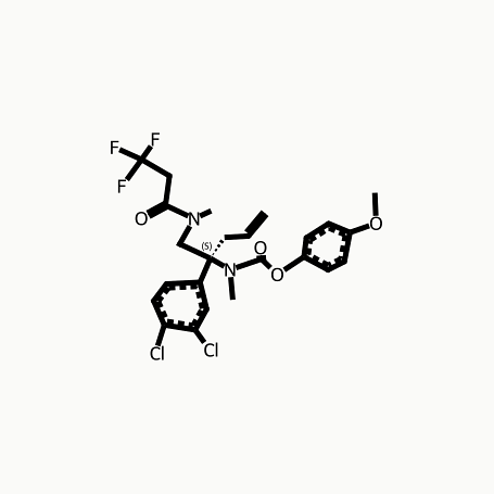 C=CC[C@@](CN(C)C(=O)CC(F)(F)F)(c1ccc(Cl)c(Cl)c1)N(C)C(=O)Oc1ccc(OC)cc1